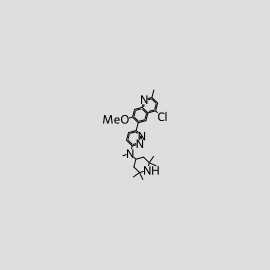 COc1cc2nc(C)cc(Cl)c2cc1-c1ccc(N(C)C2CC(C)(C)NC(C)(C)C2)nn1